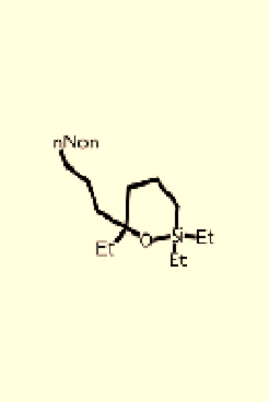 CCCCCCCCCCCCC1(CC)CCC[Si](CC)(CC)O1